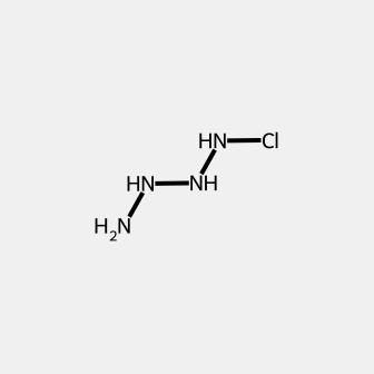 NNNNCl